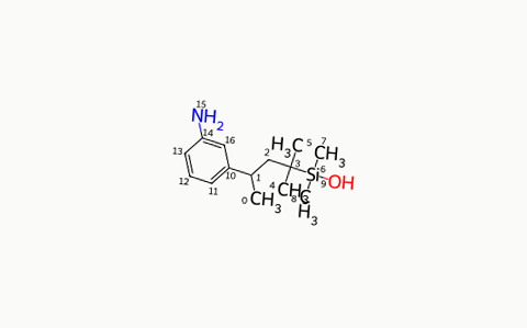 CC(CC(C)(C)[Si](C)(C)O)c1cccc(N)c1